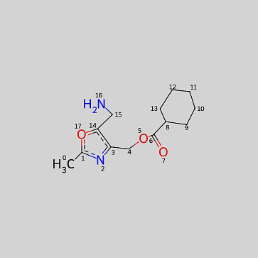 Cc1nc(COC(=O)C2CCCCC2)c(CN)o1